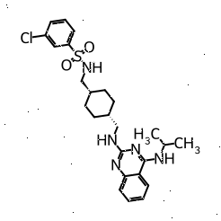 CC(C)Nc1nc(NC[C@H]2CC[C@H](CNS(=O)(=O)c3cccc(Cl)c3)CC2)nc2ccccc12